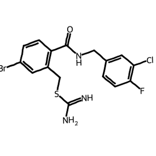 N=C(N)SCc1cc(Br)ccc1C(=O)NCc1ccc(F)c(Cl)c1